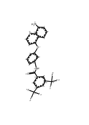 Nc1cccc2c(Oc3cccc(NC(=O)c4cc(C(F)(F)F)cc(C(F)(F)F)c4)c3)ccnc12